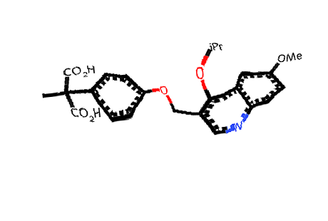 COc1ccc2ncc(COc3ccc(C(C)(C(=O)O)C(=O)O)cc3)c(OC(C)C)c2c1